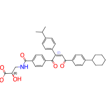 CC(C)c1ccc(/C(=C/C(=O)c2ccc(C3CCCCC3)cc2)C(=O)c2ccc(C(=O)NC[C@@H](O)C(=O)O)cc2)cc1